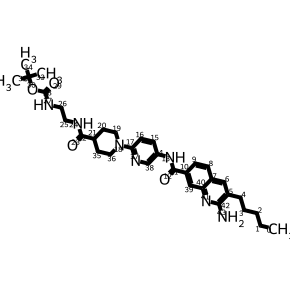 CCCCCc1cc2ccc(C(=O)Nc3ccc(N4CCC(C(=O)NCCNC(=O)OC(C)(C)C)CC4)nc3)cc2nc1N